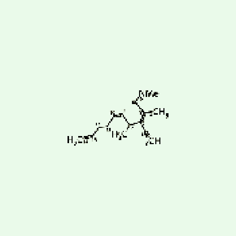 C#C/C(=C(\C)CNC)C(C)/C=C\CCC=C